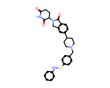 O=C1CCC(N2Cc3cc(C4CCN(Cc5ccc(SNc6ccccc6)cc5)CC4)ccc3C2=O)C(=O)N1